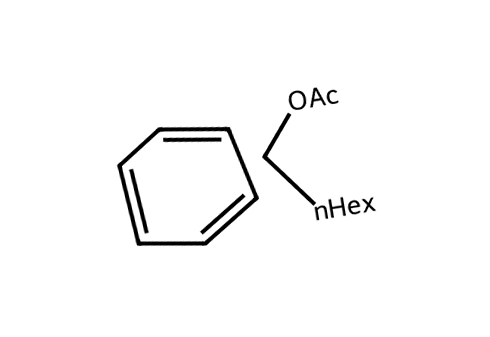 CCCCCCCOC(C)=O.c1ccccc1